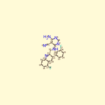 N#Cc1c(N)ncnc1NCc1nc2cccc(F)c2cc1-c1cccc(F)c1